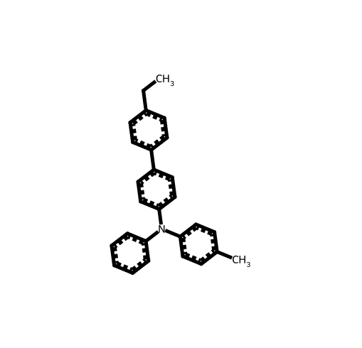 CCc1ccc(-c2ccc(N(c3ccccc3)c3ccc(C)cc3)cc2)cc1